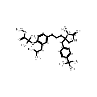 COC(=O)C(C)(C)Oc1ccc(CCCC2(Cc3ccc(C(C)(C)C)cc3)CNC(=O)N2C)cc1CC(C)C